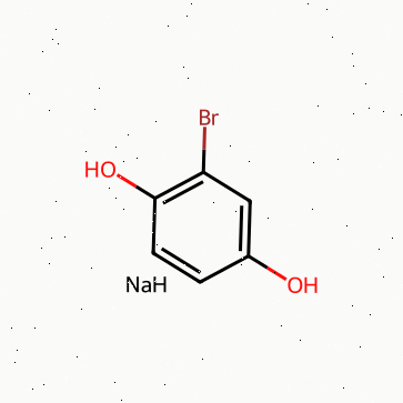 Oc1ccc(O)c(Br)c1.[NaH]